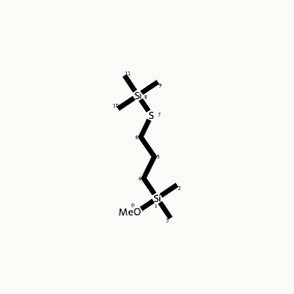 CO[Si](C)(C)CCCS[Si](C)(C)C